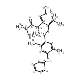 CC/C=C(\C(COc1cc(C)c(Oc2ccccc2)cc1C)=C(C)C)N(N)C(=O)N(C)N